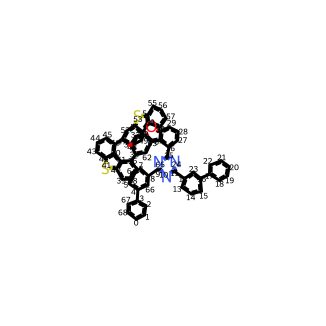 c1ccc(-c2cccc(-c3nc(-c4cccc(-c5ccccc5)c4)nc(-c4cccc5oc6ccc(-c7cccc8sc9cccc(-c%10ccc%11c(c%10)sc%10ccccc%10%11)c9c78)cc6c45)n3)c2)cc1